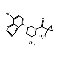 C[C@@H]1C[C@H](c2ccc(C#N)c3ncccc23)CN(C(=O)C2(N)CC2)C1